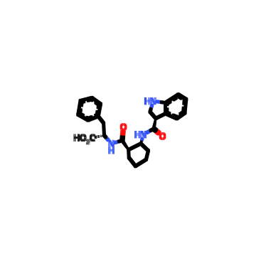 O=C(O)[C@H](Cc1ccccc1)NC(=O)[C@@H]1CCCC[C@@H]1NC(=O)[C@H]1CNc2ccccc21